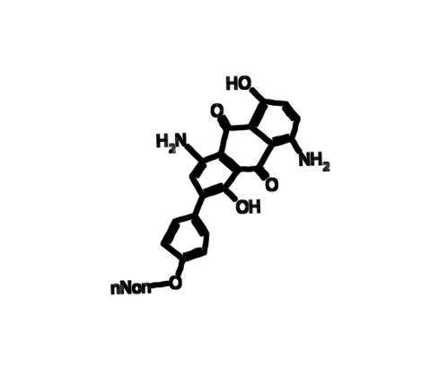 CCCCCCCCCOc1ccc(-c2cc(N)c3c(c2O)C(=O)c2c(N)ccc(O)c2C3=O)cc1